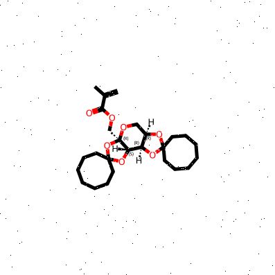 C=C(C)C(=O)OC[C@]12OC[C@H]3OC4(CCCCCCC4)O[C@H]3[C@@H]1OC1(CCCCCCC1)O2